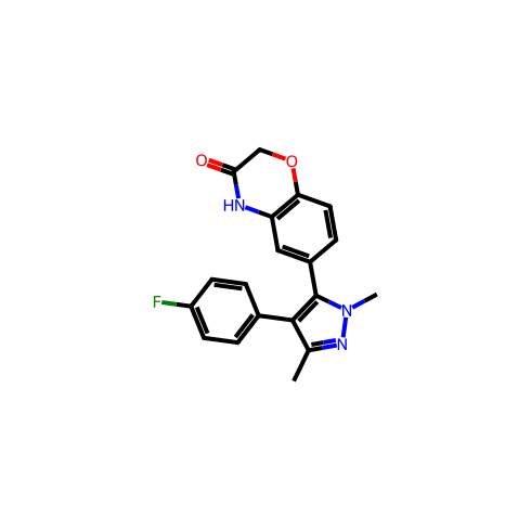 Cc1nn(C)c(-c2ccc3c(c2)NC(=O)CO3)c1-c1ccc(F)cc1